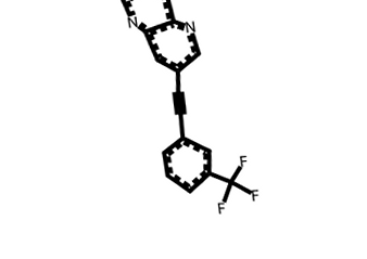 FC(F)(F)c1cccc(C#Cc2cnc3cccnc3c2)c1